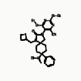 CCOc1nc(C#N)c(N2CC3(CCC(c4ccccc4)(N(C)CC)CC3)N(CC3CCC3)C2=O)c(OCC)n1